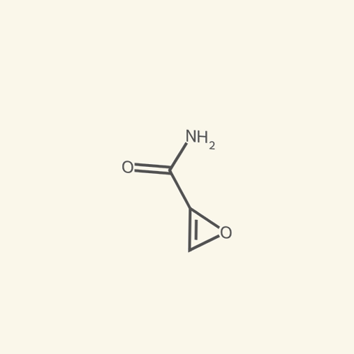 NC(=O)C1=CO1